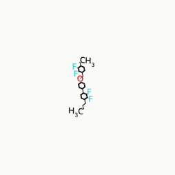 CCCCc1ccc(-c2ccc(OCc3ccc(CC)c(F)c3F)cc2)c(F)c1F